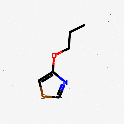 CCCOc1cs[c]n1